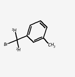 [2H]C([2H])(Br)c1cccc(C)c1